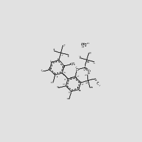 Cc1cc(C(C)(C)C)c([O-])c(-c2c(C)c(C)cc(C(C)(C)C)c2OC(=O)C(C)(C)C)c1C.[Cl-].[Mg+2]